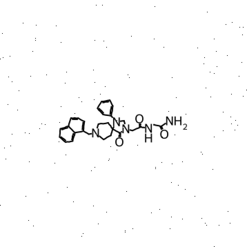 NC(=O)CNC(=O)CN1CN(c2ccccc2)C2(CCN(Cc3cccc4ccccc34)CC2)C1=O